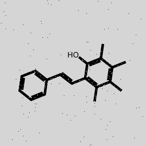 Cc1c(C)c(C)c(C=Cc2ccccc2)c(O)c1C